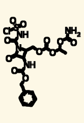 CC(OC(N)=O)OC(=O)OCC1C(NC(=O)OCc2ccccc2)C(=O)N1C(=O)NS(=O)(=O)Cl